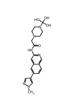 Cn1cc(-c2ccc3cnc(NC(=O)CN4CCN(C(O)(O)O)CC4)cc3c2)cn1